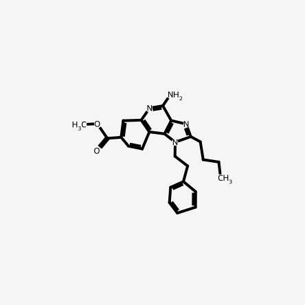 CCCCc1nc2c(N)nc3cc(C(=O)OC)ccc3c2n1CCc1ccccc1